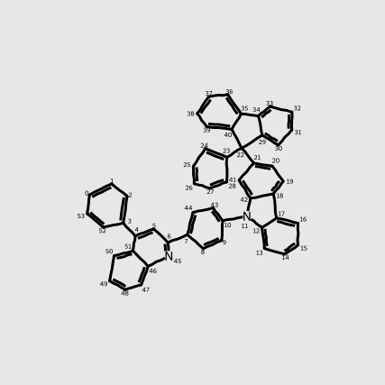 c1ccc(-c2cc(-c3ccc(-n4c5ccccc5c5ccc(C6(c7ccccc7)c7ccccc7-c7ccccc76)cc54)cc3)nc3ccccc23)cc1